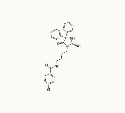 N=C1NC(c2ccccc2)(c2ccccc2)C(=O)N1CCCCNC(=O)c1ccc(Cl)cc1